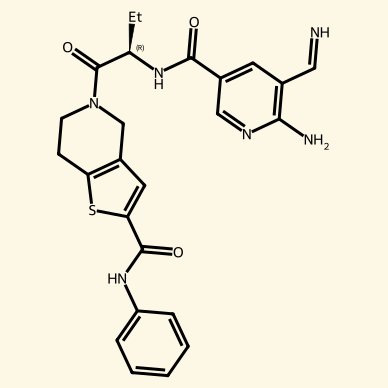 CC[C@@H](NC(=O)c1cnc(N)c(C=N)c1)C(=O)N1CCc2sc(C(=O)Nc3ccccc3)cc2C1